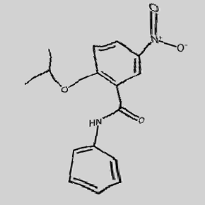 CC(C)Oc1ccc([N+](=O)[O-])cc1C(=O)Nc1ccccc1